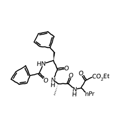 CCCC(NC(=O)[C@H](C)NC(=O)[C@H](Cc1ccccc1)NC(=O)c1ccccc1)C(=O)C(=O)OCC